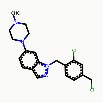 O=CN1CCN(c2ccc3cnn(Cc4ccc(CCl)cc4Cl)c3c2)CC1